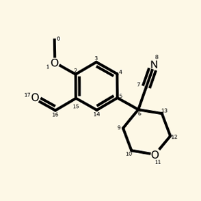 COc1ccc(C2(C#N)CCOCC2)cc1C=O